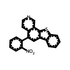 O=[N+]([O-])c1ccccc1-c1cc2c3ccccc3sc2c2cnccc12